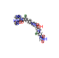 O=C1CCN(c2ccc(N3CCC(O)(CC(=O)N4CCN(c5ccc(-c6cc(F)c7c(c6)C(=O)N(C(C(=O)Nc6nccs6)c6ncn8c6CCC8)C7)cc5)CC4)CC3)c(F)c2)C(=O)N1